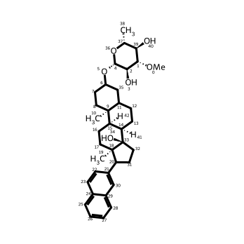 CO[C@@H]1[C@@H](O)[C@H](OC2CC[C@@]3(C)C(CC[C@@H]4[C@H]3CC[C@]3(C)C(c5ccc6ccccc6c5)CC[C@@]43O)C2)O[C@H](C)[C@H]1O